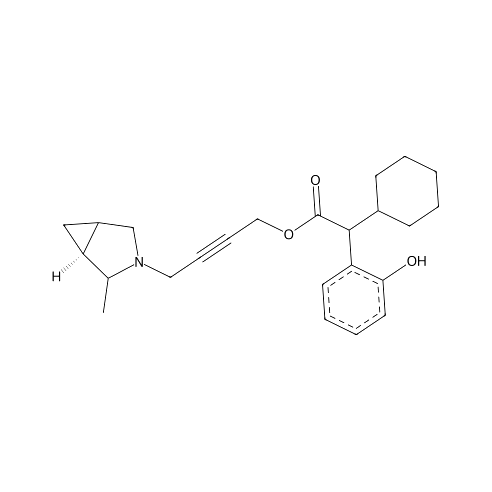 CC1[C@H]2CC2CN1CC#CCOC(=O)C(c1ccccc1O)C1CCCCC1